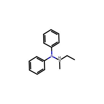 CC[SiH](C)N(c1ccccc1)c1ccccc1